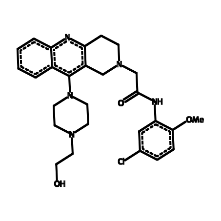 COc1ccc(Cl)cc1NC(=O)CN1CCc2nc3ccccc3c(N3CCN(CCO)CC3)c2C1